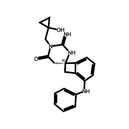 N=C1N[C@]2(CC(=O)N1CC1(O)CC1)Cc1c(Nc3ccccc3)cccc12